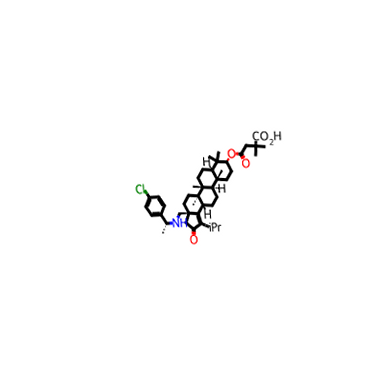 CC(C)C1=C2[C@H]3CC[C@@H]4[C@@]5(C)CC[C@H](OC(=O)CC(C)(C)C(=O)O)C(C)(C)[C@@H]5CC[C@@]4(C)[C@]3(C)CC[C@@]2(CN[C@H](C)c2ccc(Cl)cc2)CC1=O